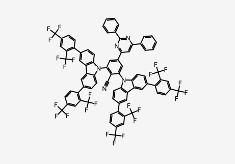 N#Cc1c(-n2c3ccc(-c4ccc(C(F)(F)F)cc4C(F)(F)F)cc3c3cc(-c4ccc(C(F)(F)F)cc4C(F)(F)F)ccc32)cc(-c2cc(-c3ccccc3)nc(-c3ccccc3)n2)cc1-n1c2ccc(-c3ccc(C(F)(F)F)cc3C(F)(F)F)cc2c2cc(-c3ccc(C(F)(F)F)cc3C(F)(F)F)ccc21